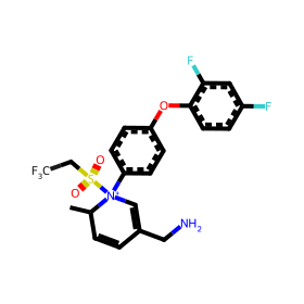 CC1C=CC(CN)=C[N+]1(c1ccc(Oc2ccc(F)cc2F)cc1)S(=O)(=O)CC(F)(F)F